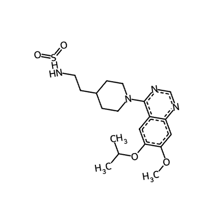 COc1cc2ncnc(N3CCC(CCN[SH](=O)=O)CC3)c2cc1OC(C)C